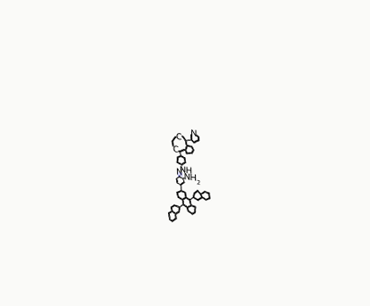 NC1C=C(c2ccc3c(-c4ccc5ccccc5c4)c4ccccc4c(-c4ccc5ccccc5c4)c3c2)C=C/C1=N/Nc1ccc(-c2ccccccc(-c3cccnc3)c3ccccc23)cc1